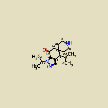 CC(C)C1c2cnn(C(C)C)c2C(=O)CC12CCNCC2